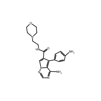 Nc1ccc(-c2c(C(=O)NCCN3CCOCC3)cn3ncnc(N)c23)cc1